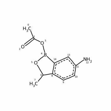 CC(=O)OB1OC(C)c2ccc(N)cc21